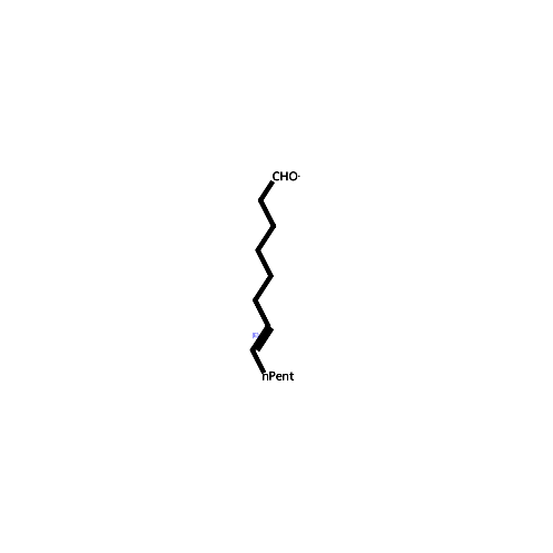 CCCCC/C=C/CCCCC[C]=O